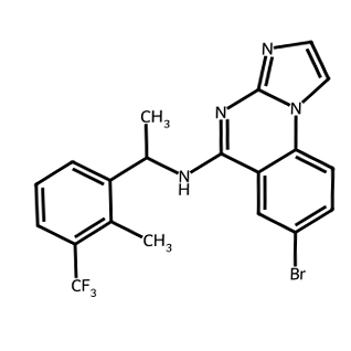 Cc1c(C(C)Nc2nc3nccn3c3ccc(Br)cc23)cccc1C(F)(F)F